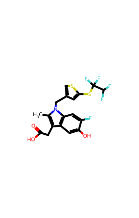 Cc1c(CC(=O)O)c2cc(O)c(F)cc2n1Cc1csc(SC(F)(F)C(F)F)c1